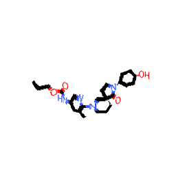 CCCOC(=O)Nc1cnc(N2CCC[C@@]3(CCN([C@H]4CC[C@@H](O)CC4)C3=O)C2)c(C)c1